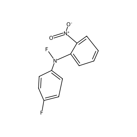 O=[N+]([O-])c1ccccc1N(F)c1ccc(F)cc1